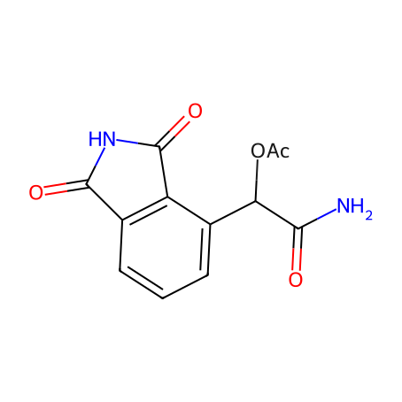 CC(=O)OC(C(N)=O)c1cccc2c1C(=O)NC2=O